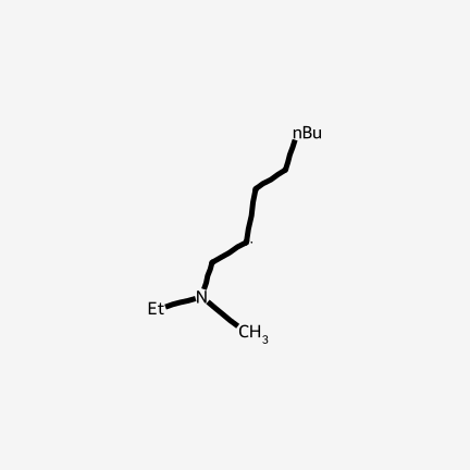 CCCCCC[CH]CN(C)CC